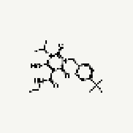 CCNC(=O)c1c(O)n(C(C)C)c(=O)n(Cc2ccc(C(C)(C)C)cc2)c1=O